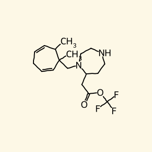 CC1C=CCC=CC1(C)CN1CCNCCC1CC(=O)OC(F)(F)F